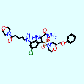 NC(=O)c1[nH]c2c(NCCCCC(=O)N3CCOCC3)cc(Cl)cc2c1S(=O)(=O)N1CCO[C@H](COc2ccccc2)C1